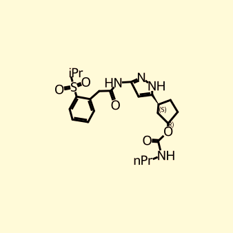 CCCNC(=O)O[C@@H]1CC[C@H](c2cc(NC(=O)Cc3ccccc3S(=O)(=O)C(C)C)n[nH]2)C1